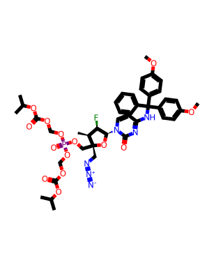 COc1ccc(C(Nc2ccn([C@@H]3O[C@](CN=[N+]=[N-])(COP(=O)(OCOC(=O)OC(C)C)OCOC(=O)OC(C)C)[C@@H](C)[C@H]3F)c(=O)n2)(c2ccccc2)c2ccc(OC)cc2)cc1